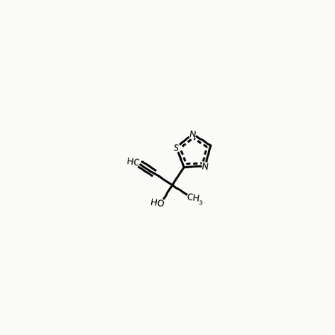 C#CC(C)(O)c1ncns1